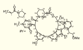 C=CC(=O)N1CC[C@H](C(=O)N(C)[C@H](C(=O)N[C@@H]2Cc3cc(O)cc(c3)-c3cnc4c(c3)c(c(-c3ccccc3CCOC)n4CC)CC(C)(C)COC(=O)[C@@H]3CCCN(N3)C2=O)C(C)C)C1